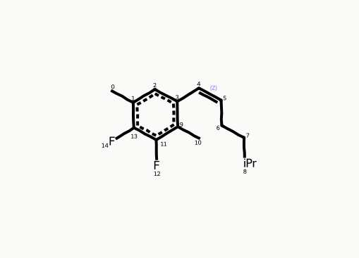 Cc1cc(/C=C\CCC(C)C)c(C)c(F)c1F